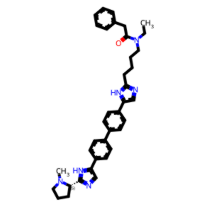 CCN(CCCCc1ncc(-c2ccc(-c3ccc(-c4cnc([C@@H]5CCCN5C)[nH]4)cc3)cc2)[nH]1)C(=O)Cc1ccccc1